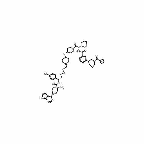 NC1(C(=O)N[C@@H](CCOCCN2CCC(OC3CCN(C(=O)[C@H](NC(=O)c4cccc(C5CCCN(C(=O)C67CC(C6)C7)C5)c4)C4CCCCC4)CC3)CC2)c2ccc(Cl)cc2)CCN(c2ncnc3[nH]ccc23)CC1